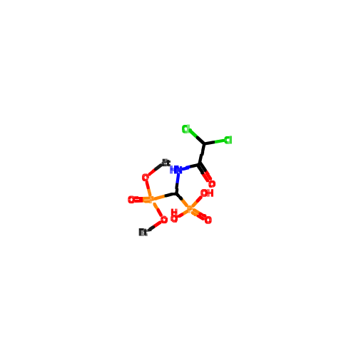 CCOP(=O)(OCC)C(NC(=O)C(Cl)Cl)P(=O)(O)O